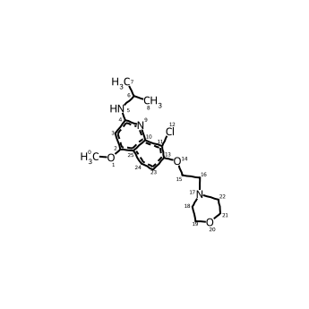 COc1cc(NC(C)C)nc2c(Cl)c(OCCN3CCOCC3)ccc12